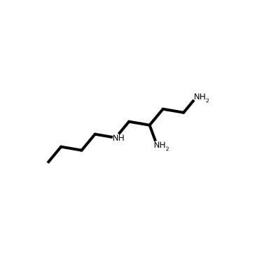 CCCCNCC(N)CCN